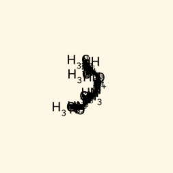 CCn1c(C#CCNC(=O)c2ccc(C#[N+]CNCc3ccc4c(c3)cc(C#CCNC(=O)c3ccc(C)nc3)n4CC)cc2)cc2cc(CNC)ccc21